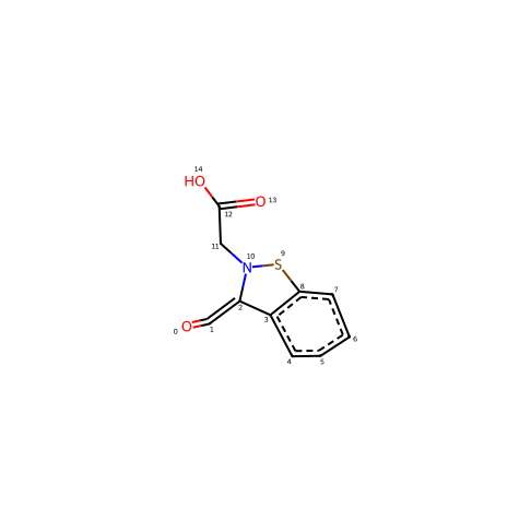 O=C=C1c2ccccc2SN1CC(=O)O